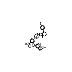 COC(=O)c1ccc(N2CCN(CC3=C(c4ccc(Cl)cc4)CCCC3(C)C)CC2)cc1Oc1cnc2[nH]ccc2c1